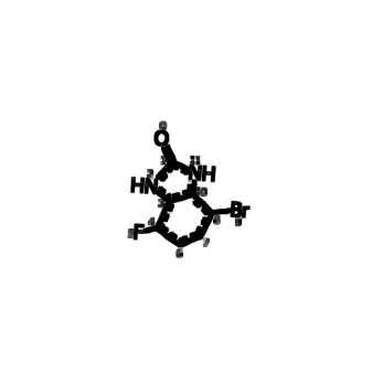 O=c1[nH]c2c(F)ccc(Br)c2[nH]1